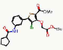 COC(=O)c1sc(-c2cccc(NC(=O)C3CCCC3)c2)c(Br)c1OCC(=O)OC(C)(C)C